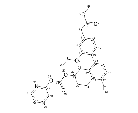 CCOc1cc(CC(=O)OC)ccc1-c1ccc(F)c2c1CN(OC(=O)Oc1cnccn1)CC2